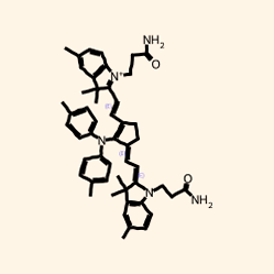 Cc1ccc(N(C2=C(/C=C/C3=[N+](CCC(N)=O)c4ccc(C)cc4C3(C)C)CC/C2=C\C=C2\N(CCC(N)=O)c3ccc(C)cc3C2(C)C)c2ccc(C)cc2)cc1